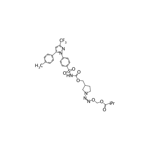 Cc1ccc(-c2cc(C(F)(F)F)nn2-c2ccc(S(=O)(=O)NC(=O)OCC3CCN(/N=N\OCOC(=O)C(C)C)C3)cc2)cc1